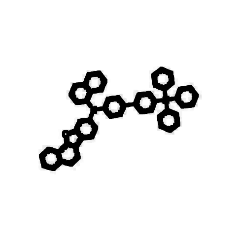 c1ccc([Si](c2ccccc2)(c2ccccc2)c2ccc(-c3ccc(N(c4ccc5c(c4)oc4c6ccccc6ccc54)c4cccc5ccccc45)cc3)cc2)cc1